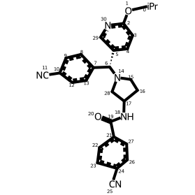 CC(C)Oc1ccc([C@@H](c2ccc(C#N)cc2)N2CCC(NC(=O)c3ccc(C#N)cc3)C2)cn1